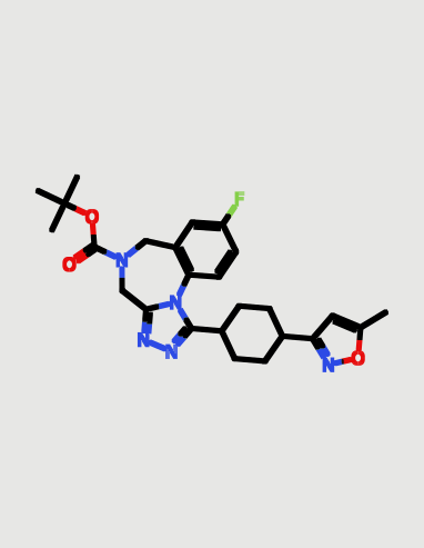 Cc1cc(C2CCC(c3nnc4n3-c3ccc(F)cc3CN(C(=O)OC(C)(C)C)C4)CC2)no1